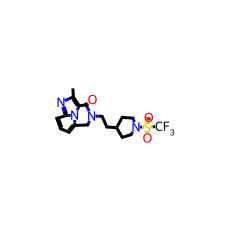 Cc1nc2cccc3n2c1C(=O)N(CCC1CCN(S(=O)(=O)C(F)(F)F)CC1)C3